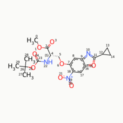 COC(=O)[C@H](COc1cc2nc(C3CC3)oc2cc1[N+](=O)[O-])NC(=O)OC(C)(C)C